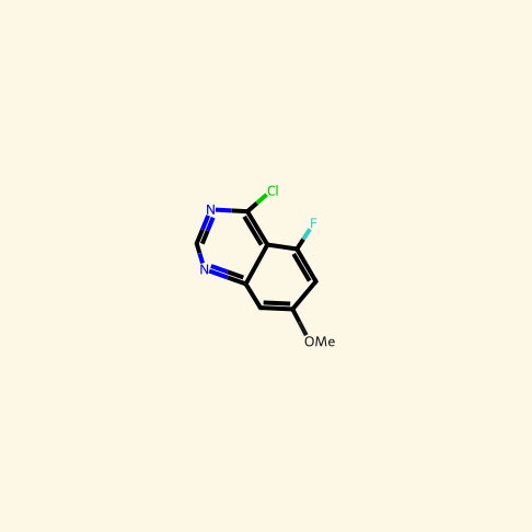 COc1cc(F)c2c(Cl)ncnc2c1